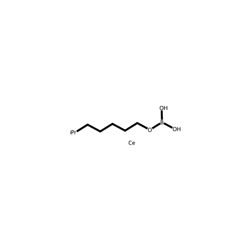 CC(C)CCCCCOB(O)O.[Ce]